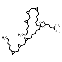 CCCCCC1CC1CC1CC1CC1CC1CCCCCC1(CCCCCC2CC2CC2CC2CC2CC2CCCCC)OCC(CCN(C)C)O1